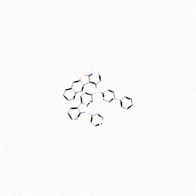 c1ccc(-c2ccc(N(c3ccc4c5ccccc5n(-c5ccccc5)c4c3)c3ccnc4oc5cc6ccccc6cc5c34)cc2)cc1